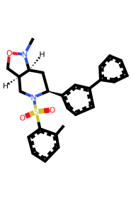 Cc1ccccc1S(=O)(=O)N1C[C@H]2CON(C)[C@H]2C[C@H]1c1cccc(-c2ccccc2)c1